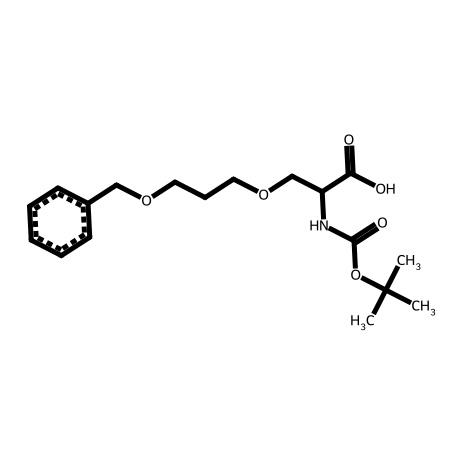 CC(C)(C)OC(=O)NC(COCCCOCc1ccccc1)C(=O)O